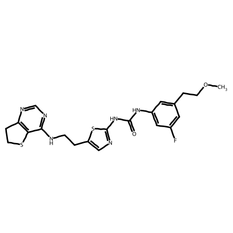 COCCc1cc(F)cc(NC(=O)Nc2ncc(CCNc3ncnc4c3SCC4)s2)c1